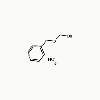 OCOCc1ccccc1.[K+].[OH-]